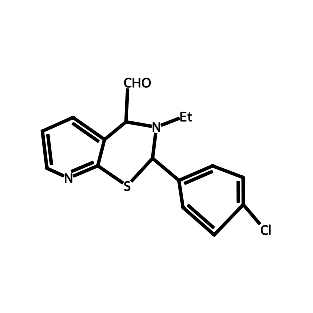 CCN1C(C=O)c2cccnc2SC1c1ccc(Cl)cc1